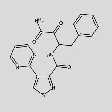 NC(=O)C(=O)C(Cc1ccccc1)NC(=O)c1nscc1-c1ncccn1